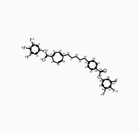 O=C(Oc1cc(F)c(F)c(F)c1)C1=CC=C(CCCCCc2ccc(C(=O)Oc3cc(F)c(F)c(F)c3)cc2)C=CC1